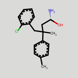 Cc1ccc(C(C)(Cc2ccccc2Cl)C[C@H](N)O)cc1